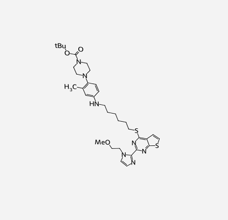 COCCn1ccnc1-c1nc(SCCCCCCNc2ccc(N3CCN(C(=O)OC(C)(C)C)CC3)c(C)c2)c2ccsc2n1